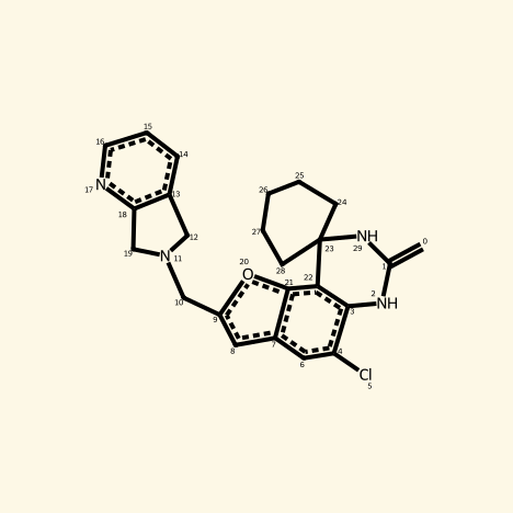 C=C1Nc2c(Cl)cc3cc(CN4Cc5cccnc5C4)oc3c2C2(CCCCC2)N1